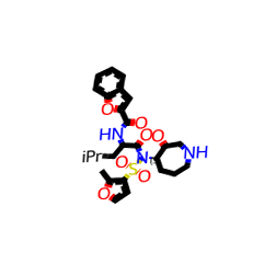 Cc1occc1S(=O)(=O)N(C(=O)C(CC(C)C)NC(=O)c1cc2ccccc2o1)[C@H]1CCCNCC1=O